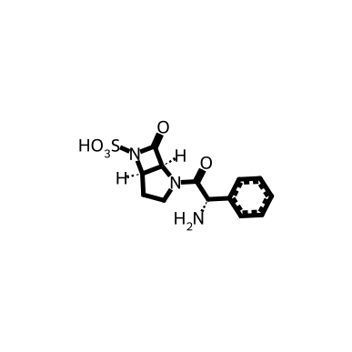 N[C@H](C(=O)N1CC[C@@H]2[C@H]1C(=O)N2S(=O)(=O)O)c1ccccc1